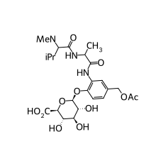 CNC(C(=O)NC(C)C(=O)Nc1cc(COC(C)=O)ccc1O[C@@H]1O[C@H](C(=O)O)[C@@H](O)[C@H](O)[C@H]1O)C(C)C